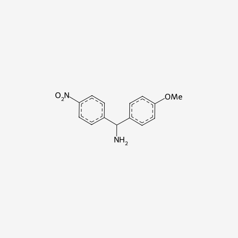 COc1ccc(C(N)c2ccc([N+](=O)[O-])cc2)cc1